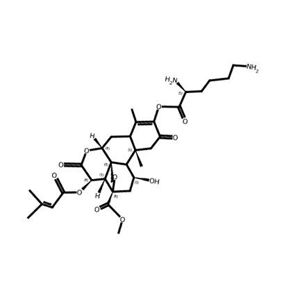 COC(=O)[C@@]12C[C@H](O)C3[C@@]4(C)CC(=O)C(OC(=O)[C@@H](N)CCCCN)=C(C)C4C[C@H]4OC(=O)[C@H](OC(=O)C=C(C)C)[C@@H]1[C@@]34CO2